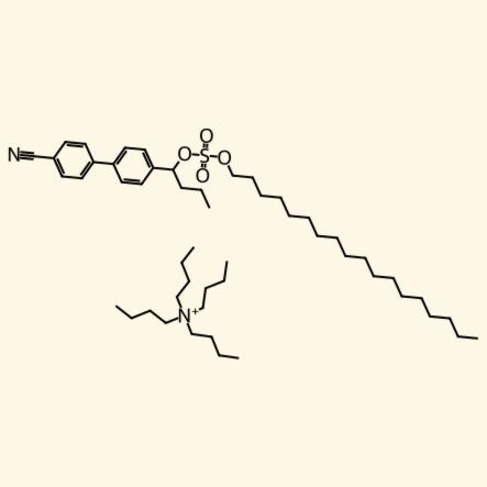 CCCCCCCCCCCCCCCCCCOS(=O)(=O)OC(CCC)c1ccc(-c2ccc(C#N)cc2)cc1.CCCC[N+](CCCC)(CCCC)CCCC